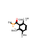 CCPC(=O)c1c(OC)ccc(OC)c1OC.[LiH]